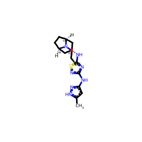 Cc1cc(Nc2nsc(N[C@@H]3C[C@H]4CC[C@@H](C3)N4CCC#N)n2)n[nH]1